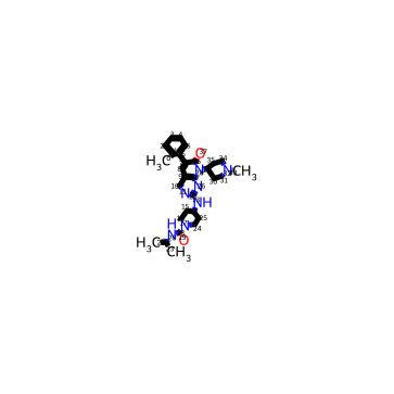 Cc1ccccc1-c1cc2cnc(NC3CCN(C(=O)NC(C)C)CC3)nc2n(C2CCN(C)CC2)c1=O